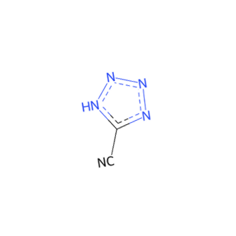 N#Cc1nnn[nH]1